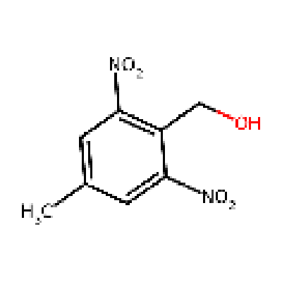 Cc1cc([N+](=O)[O-])c(CO)c([N+](=O)[O-])c1